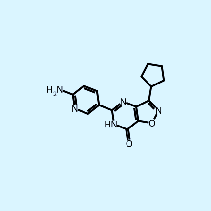 Nc1ccc(-c2nc3c(C4CCCC4)noc3c(=O)[nH]2)cn1